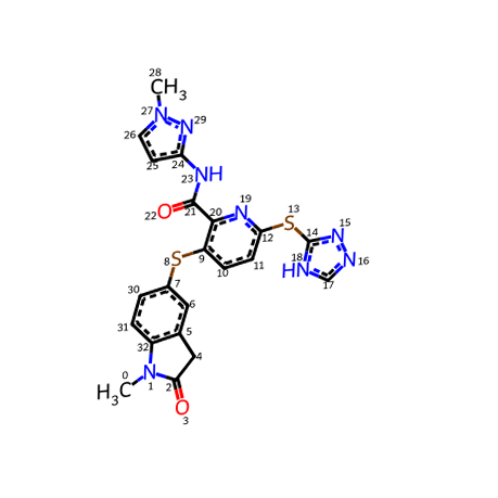 CN1C(=O)Cc2cc(Sc3ccc(Sc4nnc[nH]4)nc3C(=O)Nc3ccn(C)n3)ccc21